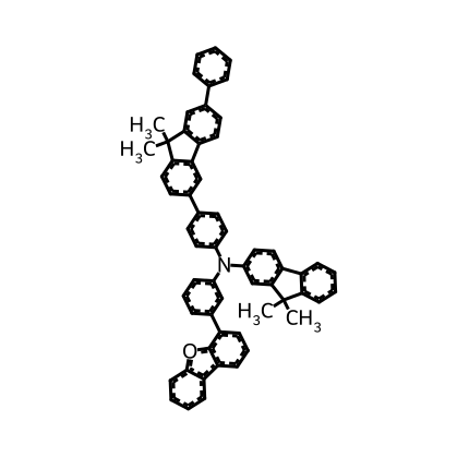 CC1(C)c2ccc(-c3ccc(N(c4cccc(-c5cccc6c5oc5ccccc56)c4)c4ccc5c(c4)C(C)(C)c4ccccc4-5)cc3)cc2-c2ccc(-c3ccccc3)cc21